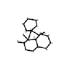 CCC1(C2(C)C(C)CCC3CCCCC32)CCCCC1